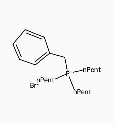 CCCCC[P+](CCCCC)(CCCCC)Cc1ccccc1.[Br-]